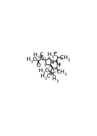 CC(=O)N(C)C1CC2=C(C(C)(C)C)[C@H](C)N=C(C(C)C)N2C1